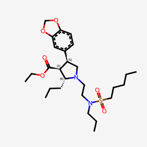 CCCCCS(=O)(=O)N(CCC)CCN1C[C@H](c2ccc3c(c2)OCO3)[C@H](C(=O)OCC)[C@H]1CCC